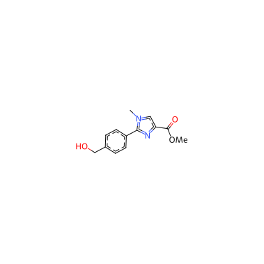 COC(=O)c1cn(C)c(-c2ccc(CO)cc2)n1